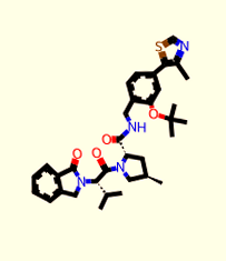 Cc1ncsc1-c1ccc(CNC(=O)[C@@H]2C[C@@H](C)CN2C(=O)[C@H](C(C)C)N2Cc3ccccc3C2=O)c(OC(C)(C)C)c1